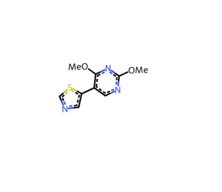 COc1ncc(-c2cncs2)c(OC)n1